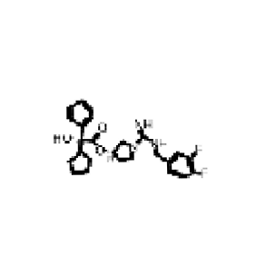 N=C(NCc1ccc(F)c(F)c1)N1CC[C@@H](OC(=O)[C@](O)(c2ccccc2)C2CCCC2)C1